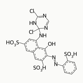 O=S(=O)(O)c1cc(NC2(Cl)N=CN=C(Cl)N2)c2c(O)c(N=Nc3ccccc3S(=O)(=O)O)c(S(=O)(=O)O)cc2c1